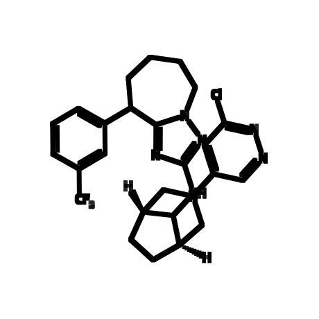 FC(F)(F)c1cccc(C2CCCCn3nc(NC4[C@@H]5CC[C@@H]4CN(c4cnnc(Cl)c4)C5)nc32)c1